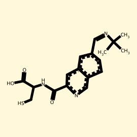 CC(C)(C)/N=C\c1ccc2cnc(C(=O)NC(CS)C(=O)O)cc2c1